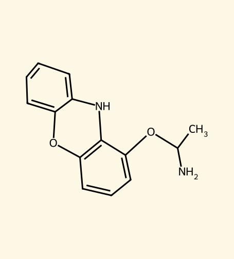 CC(N)Oc1cccc2c1Nc1ccccc1O2